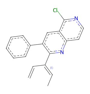 C=C/C(=C\C)c1nc2ccnc(Cl)c2cc1-c1ccccc1